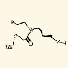 CC(C)CN(CCCO)C(=O)OC(C)(C)C